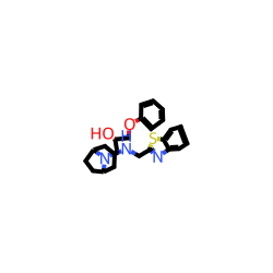 OC(COc1ccccc1)CN1C2CCC1CC(NCc1nc3ccccc3s1)C2